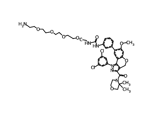 COc1cc2c(cc1-c1cccc(NC(=O)NCCOCCOCCOCCOCCN)c1)-c1c(c(C(=O)N3CCOCC3(C)C)nn1-c1cc(Cl)cc(Cl)c1)CO2